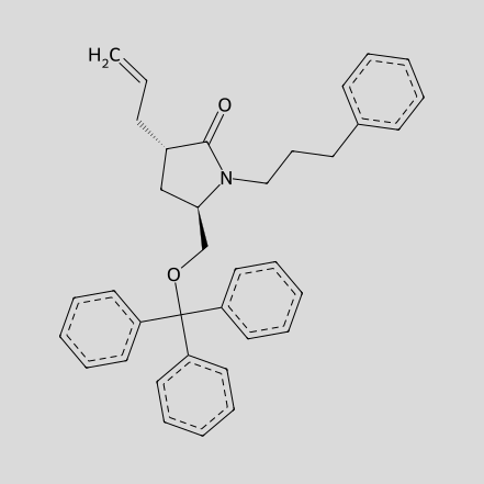 C=CC[C@H]1C[C@H](COC(c2ccccc2)(c2ccccc2)c2ccccc2)N(CCCc2ccccc2)C1=O